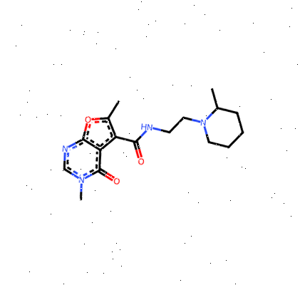 Cc1oc2ncn(C)c(=O)c2c1C(=O)NCCN1CCCCC1C